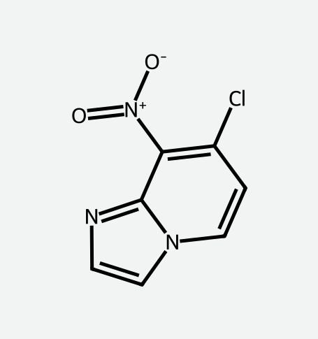 O=[N+]([O-])c1c(Cl)ccn2ccnc12